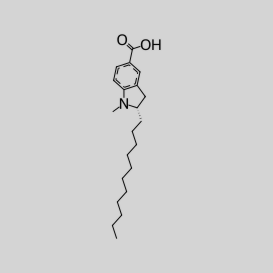 CCCCCCCCCCC[C@H]1Cc2cc(C(=O)O)ccc2N1C